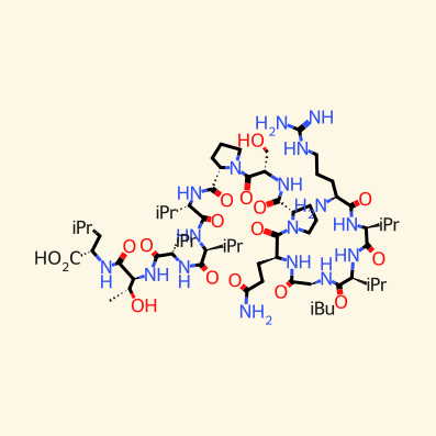 CC[C@H](C)[C@H](NC(=O)[C@@H](NC(=O)[C@@H](NC(=O)[C@@H](N)CCCNC(=N)N)C(C)C)C(C)C)C(=O)N[C@@H](CCC(N)=O)C(=O)N1CCC[C@H]1C(=O)N[C@@H](CO)C(=O)N1CCC[C@H]1C(=O)N[C@H](C(=O)N[C@H](C(=O)N[C@H](C(=O)N[C@H](C(=O)N[C@@H](CC(C)C)C(=O)O)[C@@H](C)O)C(C)C)C(C)C)C(C)C